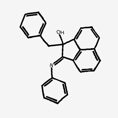 OC1(Cc2ccccc2)/C(=N/c2ccccc2)c2cccc3cccc1c23